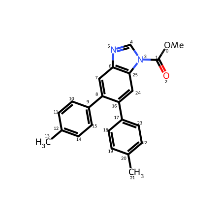 COC(=O)n1cnc2cc(-c3ccc(C)cc3)c(-c3ccc(C)cc3)cc21